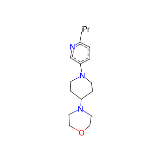 CC(C)c1ccc(N2CCC(N3CCOCC3)CC2)cn1